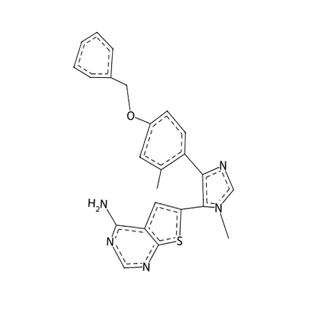 Cc1cc(OCc2ccccc2)ccc1-c1ncn(C)c1-c1cc2c(N)ncnc2s1